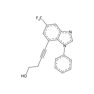 OCCC#Cc1cc(C(F)(F)F)cc2ncn(-c3ccccc3)c12